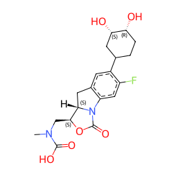 CN(C[C@@H]1OC(=O)N2c3cc(F)c(C4CC[C@@H](O)[C@@H](O)C4)cc3C[C@@H]12)C(=O)O